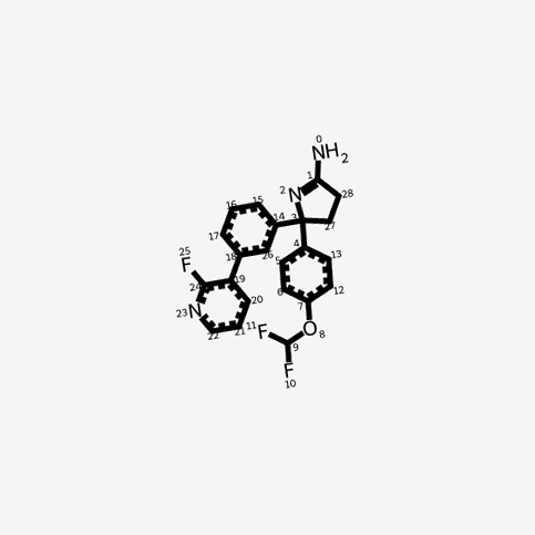 NC1=NC(c2ccc(OC(F)F)cc2)(c2cccc(-c3cccnc3F)c2)CC1